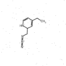 CCC1=CC(CN=[N+]=[N-])NC=C1